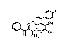 CC(C(=O)Nc1ccccc1)n1nc(O)c2[nH]c3cc(Cl)ccc3c(=O)c2c1=O